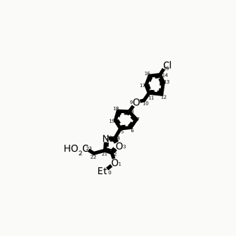 CCOc1oc(-c2ccc(OCc3ccc(Cl)cc3)cc2)nc1CC(=O)O